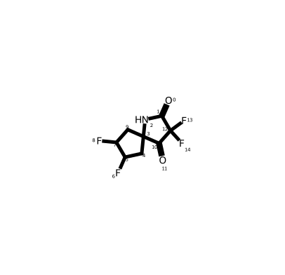 O=C1NC2(CC(F)C(F)C2)C(=O)C1(F)F